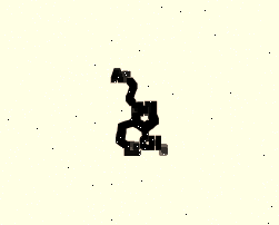 CC/C=C\c1c(C)cnn1CCC(C)=O